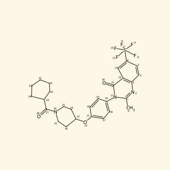 Cc1nc2ccc(S(F)(F)(F)(F)F)cc2c(=O)n1-c1ccc(OC2CCN(C(=O)C3CCCCC3)CC2)cc1